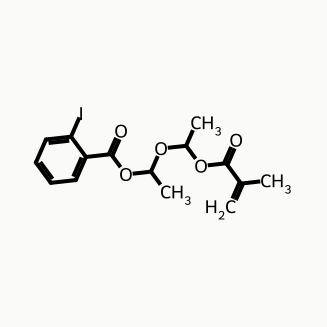 C=C(C)C(=O)OC(C)OC(C)OC(=O)c1ccccc1I